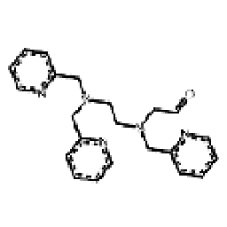 O=CCN(CCN(Cc1ccccn1)Cc1ccccn1)Cc1ccccn1